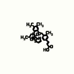 Cc1cc(OCc2ccc(C=CC(=O)O)cc2C)c(N(CC(C)C)S(=O)(=O)c2nccs2)cc1C